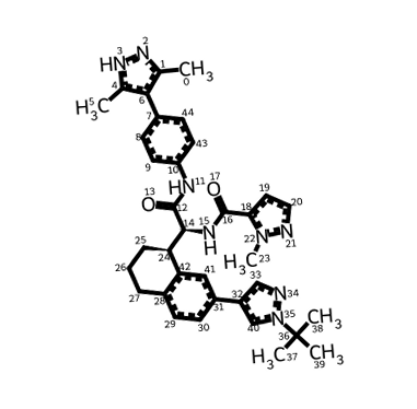 Cc1n[nH]c(C)c1-c1ccc(NC(=O)[C@@H](NC(=O)c2ccnn2C)[C@@H]2CCCc3ccc(-c4cnn(C(C)(C)C)c4)cc32)cc1